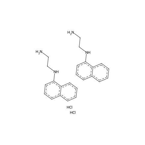 Cl.Cl.NCCNc1cccc2ccccc12.NCCNc1cccc2ccccc12